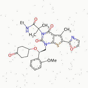 CCNC(=O)C(C)(C)n1c(=O)c2c(C)c(-c3ncco3)sc2n(C[C@H](OC2CCC(=O)CC2)c2ccccc2OC)c1=O